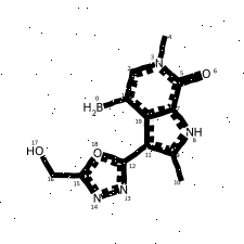 Bc1cn(C)c(=O)c2[nH]c(C)c(-c3nnc(CO)o3)c12